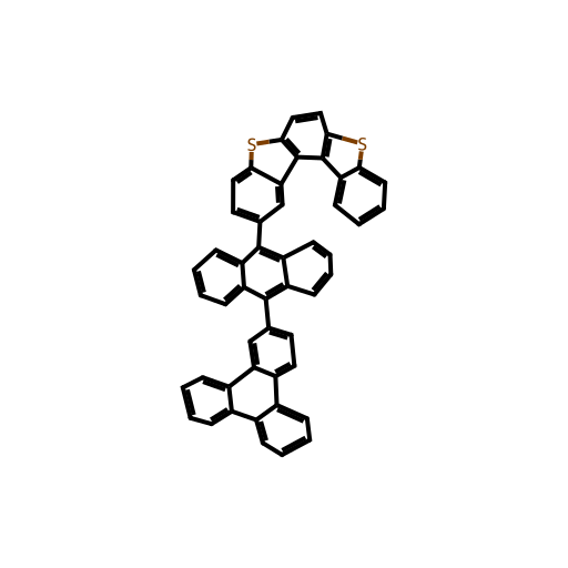 c1ccc2c(c1)sc1ccc3sc4ccc(-c5c6ccccc6c(-c6ccc7c8ccccc8c8ccccc8c7c6)c6ccccc56)cc4c3c12